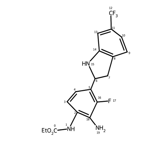 CCOC(=O)Nc1ccc(C2Cc3ccc(C(F)(F)F)cc3N2)c(F)c1N